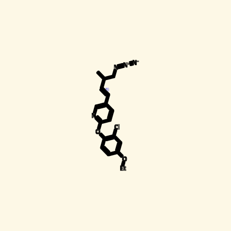 CCOc1ccc(Oc2ccc(/C=C/C(C)CN=[N+]=[N-])cn2)c(Cl)c1